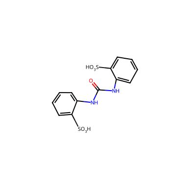 O=C(Nc1ccccc1S(=O)(=O)O)Nc1ccccc1S(=O)(=O)O